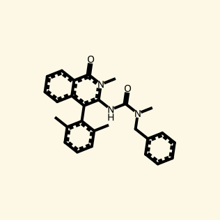 Cc1cccc(C)c1-c1c(NC(=O)N(C)Cc2ccccc2)n(C)c(=O)c2ccccc12